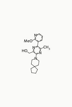 COc1ncccc1-c1nc(CO)c(N2CCC3(CCCC3)CC2)nc1C